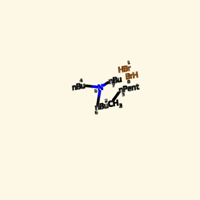 Br.Br.CCCCCC.CCCCN(CCCC)CCCC